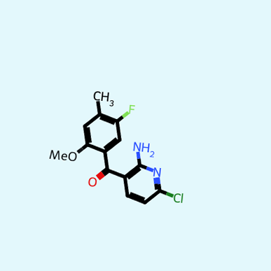 COc1cc(C)c(F)cc1C(=O)c1ccc(Cl)nc1N